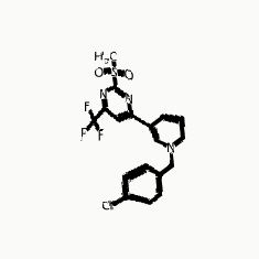 CS(=O)(=O)c1nc(C2=CN(Cc3ccc(Cl)cc3)CC=C2)cc(C(F)(F)F)n1